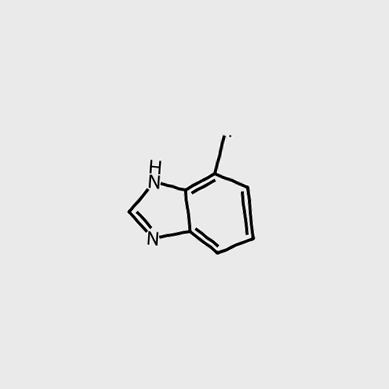 [CH2]c1cccc2nc[nH]c12